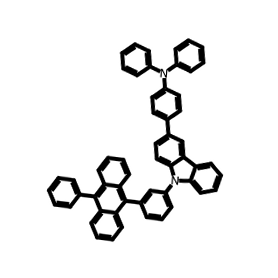 c1ccc(-c2c3ccccc3c(-c3cccc(-n4c5ccccc5c5cc(-c6ccc(N(c7ccccc7)c7ccccc7)cc6)ccc54)c3)c3ccccc23)cc1